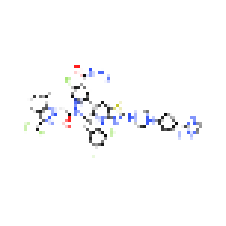 CC1CCCc2c(C(F)F)nn(CC(=O)N[C@@H](Cc3cc(F)cc(F)c3)c3nc4nc(N5CCN(c6ccc(-c7ncc[nH]7)cc6)CC5)sc4cc3-c3ccc(F)c(C(N)=O)c3)c21